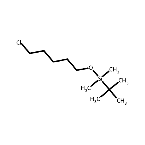 CC(C)(C)[Si](C)(C)OCCCCCCl